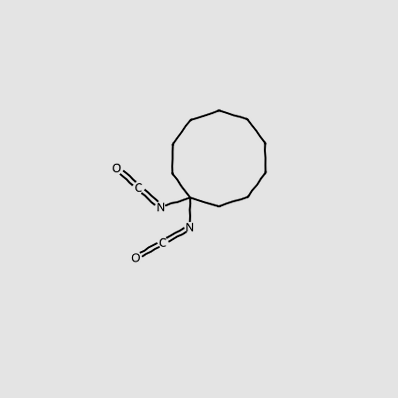 O=C=NC1(N=C=O)CCCCCCCCC1